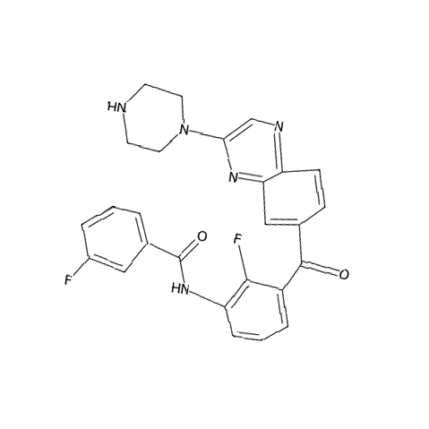 O=C(Nc1cccc(C(=O)c2ccc3ncc(N4CCNCC4)nc3c2)c1F)c1cccc(F)c1